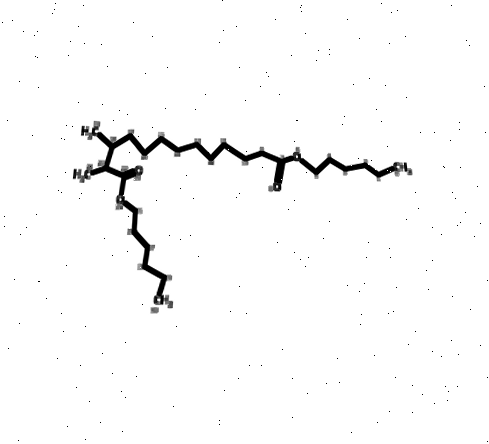 CCCCCCOC(=O)CCCCCCCCCC(C)C(C)C(=O)OCCCCCC